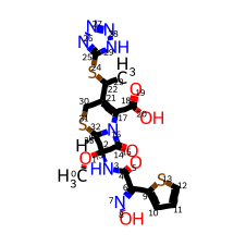 CO[C@@]1(NC(=O)C(=NO)c2cccs2)C(=O)N2C(C(=O)O)=C(C(C)Sc3nnn[nH]3)CS[C@@H]21